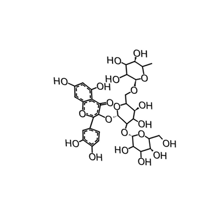 CC1O[C@@H](OCC2O[C@@H](Oc3c(-c4ccc(O)c(O)c4)oc4cc(O)cc(O)c4c3=O)C(O[C@@H]3OC(CO)[C@@H](O)C(O)C3O)C(O)[C@@H]2O)C(O)C(O)[C@H]1O